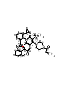 C=CC(=O)N1CCN(c2c(S(C)(=O)=O)c(=O)n(-c3c(C4CC4)ncnc3C3CC3)c3nc(-c4c(N)cccc4F)c(Cl)cc23)CC1